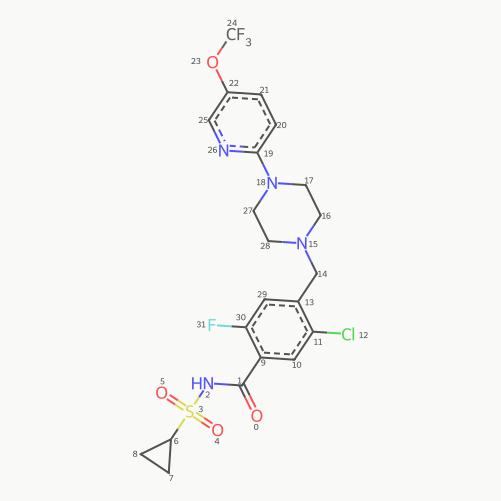 O=C(NS(=O)(=O)C1CC1)c1cc(Cl)c(CN2CCN(c3ccc(OC(F)(F)F)cn3)CC2)cc1F